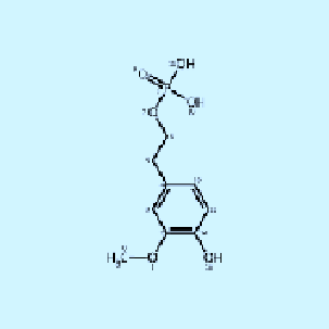 COc1cc(CCOP(=O)(O)O)ccc1O